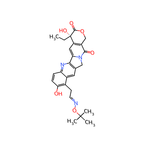 CC[C@@]1(O)C(=O)OCc2c1cc1n(c2=O)Cc2cc3c(C/C=N/OC(C)(C)C)c(O)ccc3nc2-1